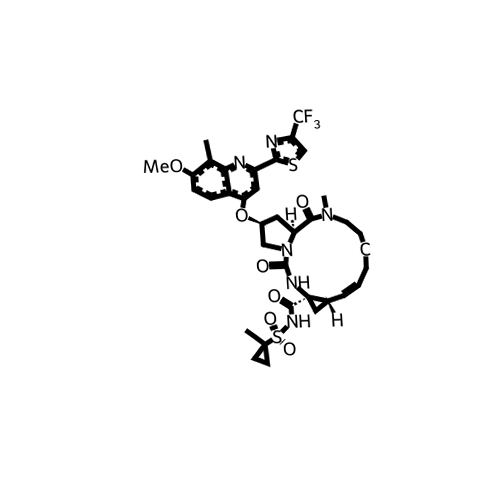 COc1ccc2c(O[C@H]3C[C@H]4C(=O)N(C)CCCC/C=C\[C@@H]5C[C@@]5(C(=O)NS(=O)(=O)C5(C)CC5)NC(=O)N4C3)cc(-c3nc(C(F)(F)F)cs3)nc2c1C